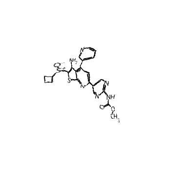 COC(=O)Nc1ncc(-c2cc(-c3cccnc3)c3c(N)c([S+]([O-])C4CCC4)sc3n2)cn1